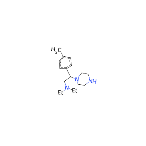 CCN(CC)CC(c1ccc(C)cc1)N1CCNCC1